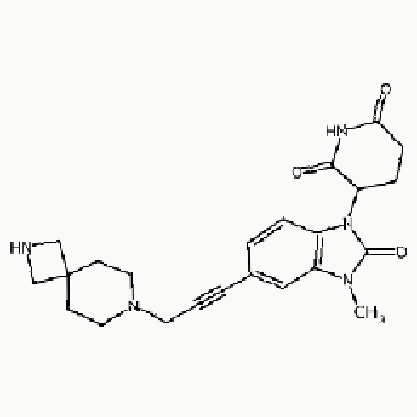 Cn1c(=O)n(C2CCC(=O)NC2=O)c2ccc(C#CCN3CCC4(CC3)CNC4)cc21